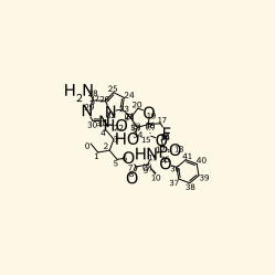 CCC(CC)COC(=O)[C@H](C)NP(=O)(OC[C@@]1(CF)OC[C@](O)(c2ccc3c(N)ncnn23)[C@@H]1O)Oc1ccccc1